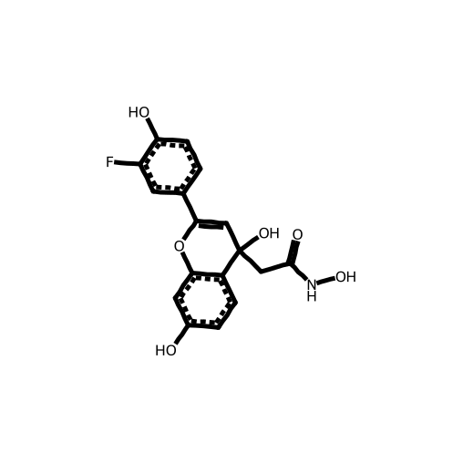 O=C(CC1(O)C=C(c2ccc(O)c(F)c2)Oc2cc(O)ccc21)NO